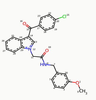 COc1cccc(CNC(=O)Cn2cc(C(=O)c3ccc(Cl)cc3)c3ccccc32)c1